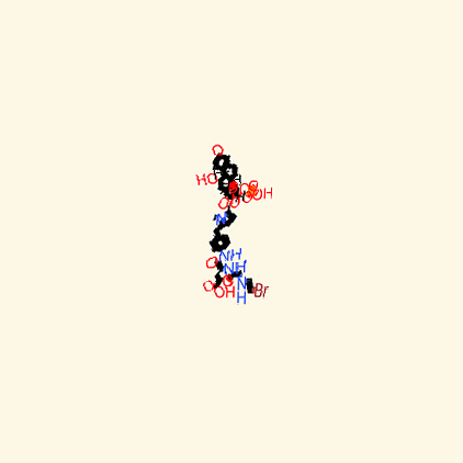 Cn1c(Cc2ccc(NC(=O)[C@H](CCC(=O)O)NC(=O)CNCCBr)cc2)ccc1[C@@H]1O[C@@H]2C[C@H]3[C@@H]4CCC5=CC(=O)C=C[C@]5(C)[C@H]4[C@@H](O)C[C@]3(C)[C@]2(C(=O)COP(=O)(O)O)O1